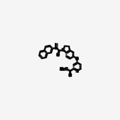 CNC(=O)c1cc(Oc2ccc3c(c2)CCN3C(=O)Nc2ccc3ccccc3c2)ccn1